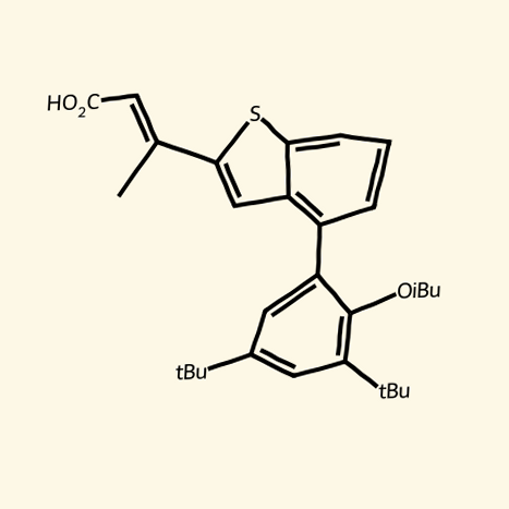 C/C(=C\C(=O)O)c1cc2c(-c3cc(C(C)(C)C)cc(C(C)(C)C)c3OCC(C)C)cccc2s1